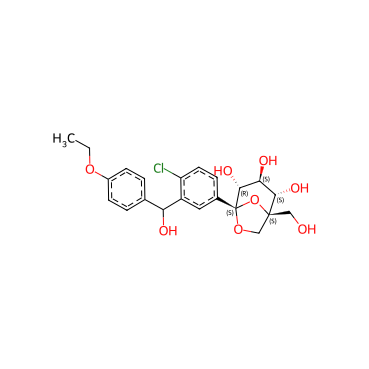 CCOc1ccc(C(O)c2cc([C@]34OC[C@](CO)(O3)[C@@H](O)[C@H](O)[C@H]4O)ccc2Cl)cc1